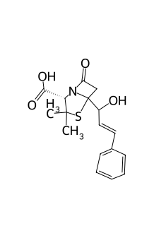 CC1(C)SC2(C(O)C=Cc3ccccc3)CC(=O)N2[C@H]1C(=O)O